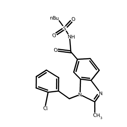 CCCCS(=O)(=O)NC(=O)c1ccc2nc(C)n(Cc3ccccc3Cl)c2c1